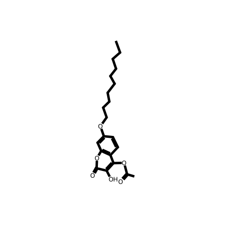 CCCCCCCCCCOc1ccc2c(OC(C)=O)c(O)c(=O)oc2c1